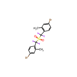 Cc1cc(Br)ccc1C(I)(I)S(=O)(=O)C(I)(I)c1ccc(Br)cc1C